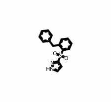 O=S(=O)(c1cc[nH]n1)c1ccccc1Cc1ccccc1